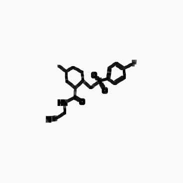 CC1CCC(CS(=O)(=O)c2ccc(F)cc2)C(C(=O)NCC#N)C1